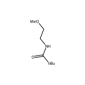 CCCCC(=O)NCCOC